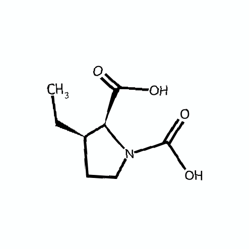 CC[C@@H]1CCN(C(=O)O)[C@@H]1C(=O)O